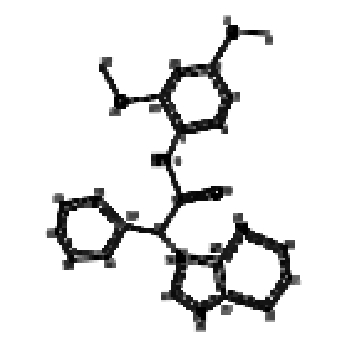 COc1ccc(NC(=O)C(c2ccccc2)n2cnc3cccnc32)c(OC)c1